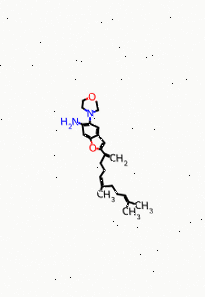 C=C(CCC=C(C)CCC=C(C)C)c1cc2cc(N3CCOCC3)c(N)cc2o1